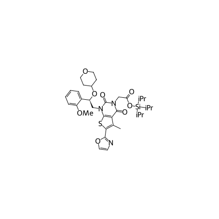 COc1ccccc1[C@H](Cn1c(=O)n(CC(=O)O[Si](C(C)C)(C(C)C)C(C)C)c(=O)c2c(C)c(-c3ncco3)sc21)OC1CCOCC1